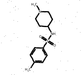 Cc1ccc(S(=O)(=O)NC2CCN(C)CC2)cc1